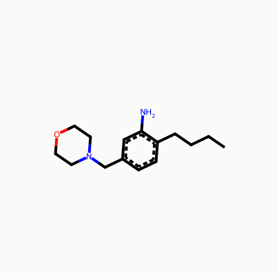 CCCCc1ccc(CN2CCOCC2)cc1N